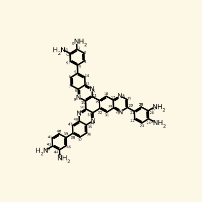 Nc1ccc(-c2ccc3nc4c(nc3c2)c2cc3ncc(-c5ccc(N)c(N)c5)nc3cc2c2nc3ccc(-c5ccc(N)c(N)c5)cc3nc24)cc1N